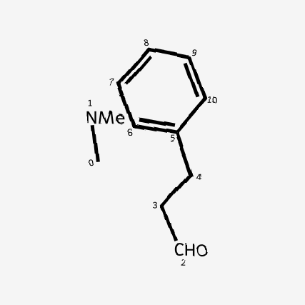 CNC.O=CCCc1ccccc1